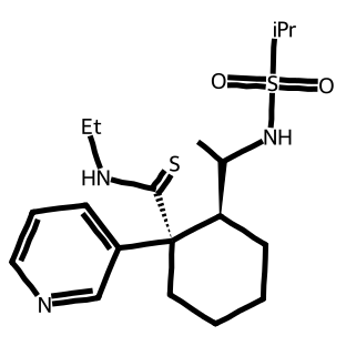 CCNC(=S)[C@@]1(c2cccnc2)CCCC[C@@H]1C(C)NS(=O)(=O)C(C)C